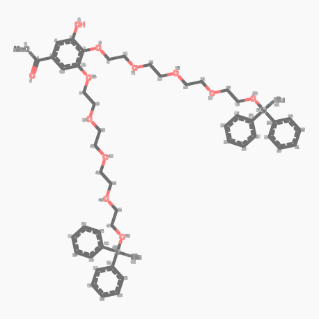 COC(=O)c1cc(O)c(OCCOCCOCCOCCO[Si](c2ccccc2)(c2ccccc2)C(C)(C)C)c(OCCOCCOCCOCCO[Si](c2ccccc2)(c2ccccc2)C(C)(C)C)c1